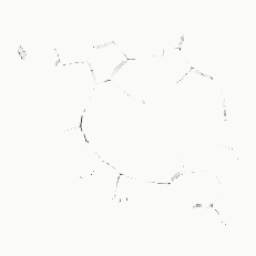 C=CCNc1c(O)cc2c(O)c1CC(C)C[C@H](OC)C(O)[C@@H](C)/C=C(\C)C(OC(N)=O)C(OC)/C=C\C=C(/C)C(=O)N2